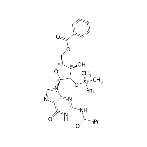 CC(C)C(=O)Nc1nc2c(ncn2[C@H]2O[C@@H](COC(=O)c3ccccc3)[C@@H](O)C2O[Si](C)(C)C(C)(C)C)c(=O)[nH]1